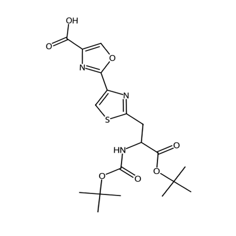 CC(C)(C)OC(=O)NC(Cc1nc(-c2nc(C(=O)O)co2)cs1)C(=O)OC(C)(C)C